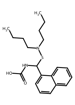 CCCCN(CCCC)SC(NC(=O)O)c1cccc2ccccc12